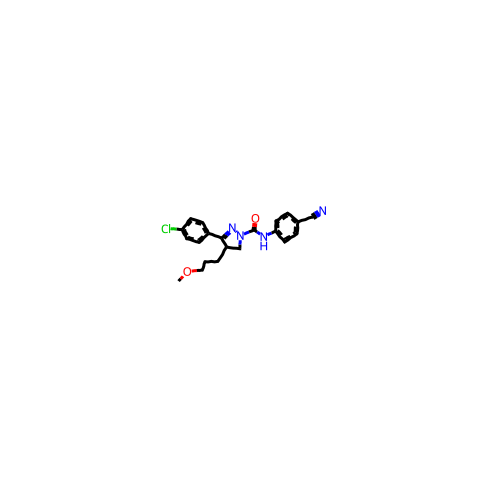 COCCCC1CN(C(=O)Nc2ccc(C#N)cc2)N=C1c1ccc(Cl)cc1